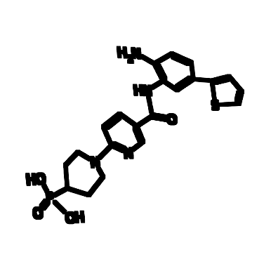 Nc1ccc(-c2cccs2)cc1NC(=O)c1ccc(N2CCC(P(=O)(O)O)CC2)nc1